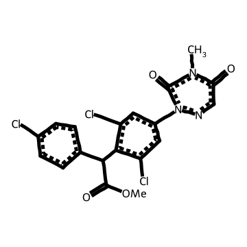 COC(=O)C(c1ccc(Cl)cc1)c1c(Cl)cc(-n2ncc(=O)n(C)c2=O)cc1Cl